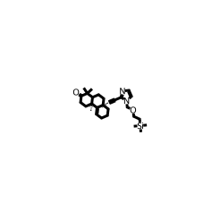 CC1(C)C(=O)CC[C@]2(C)C3=CCCC[C@]3(C#Cc3nccn3COCC[Si](C)(C)C)CCC12